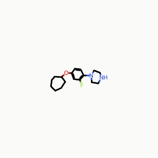 Fc1cc(OC2CCCCCC2)ccc1N1CCNCC1